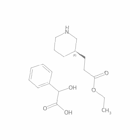 CCOC(=O)CC[C@H]1CCCNC1.O=C(O)C(O)c1ccccc1